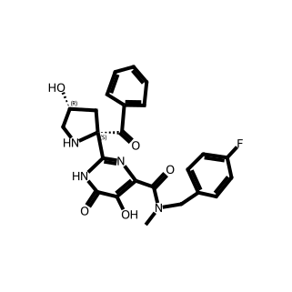 CN(Cc1ccc(F)cc1)C(=O)c1nc([C@]2(C(=O)c3ccccc3)C[C@@H](O)CN2)[nH]c(=O)c1O